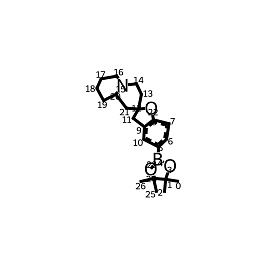 CC1(C)OB(c2ccc3c(c2)CC2(CCN4CCCCC4C2)O3)OC1(C)C